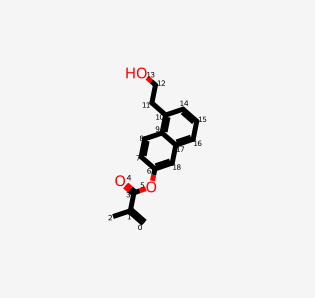 C=C(C)C(=O)Oc1ccc2c(CCO)cccc2c1